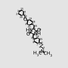 CN(C)CCSc1ccc(/C=c2\[nH]c(=O)/c(=C/c3ccc(OCc4ccccc4)cc3)[nH]c2=O)cc1